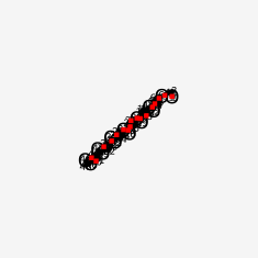 COC(C)CCOc1ccc(C(=O)Oc2ccc(C(=O)Oc3ccc(C(=O)Oc4ccc(OC(=O)c5ccc(OC(=O)c6ccc(OC(C)=O)cc6)cc5)cc4)cc3)cc2)cc1